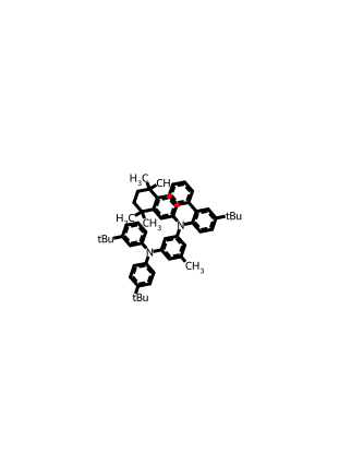 Cc1cc(N(c2ccc(C(C)(C)C)cc2)c2cccc(C(C)(C)C)c2)cc(N(c2ccc3c(c2)C(C)(C)CCC3(C)C)c2ccc(C(C)(C)C)cc2-c2ccccc2)c1